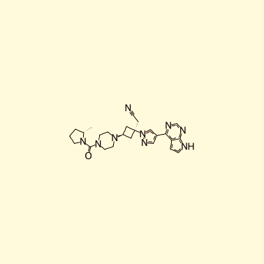 C[C@H]1CCCN1C(=O)N1CCN([C@H]2C[C@@](CC#N)(n3cc(-c4ncnc5[nH]ccc45)cn3)C2)CC1